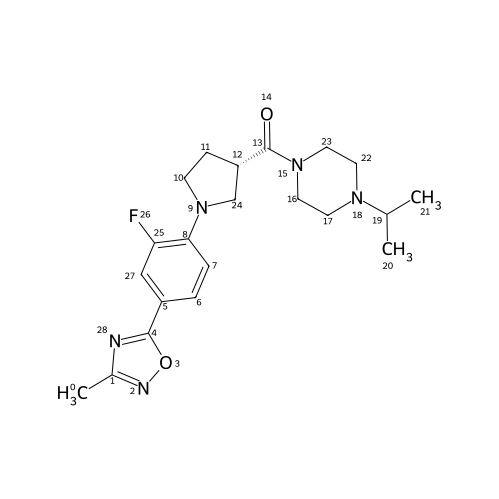 Cc1noc(-c2ccc(N3CC[C@H](C(=O)N4CCN(C(C)C)CC4)C3)c(F)c2)n1